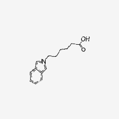 O=C(O)CCCCCn1cc2ccccc2c1